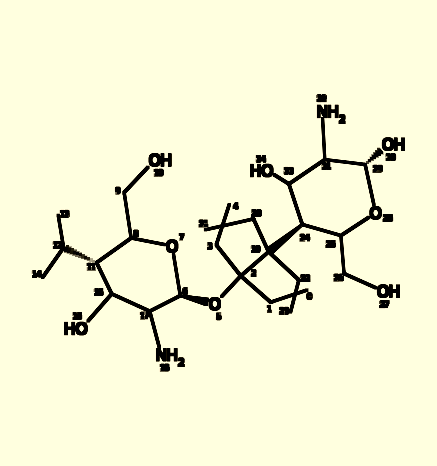 CCC(CC)(O[C@@H]1OC(CO)[C@@H](C(C)C)C(O)C1N)C(CC)(CC)[C@@H]1C(CO)O[C@@H](O)C(N)C1O